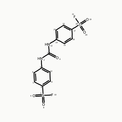 O=C(Nc1ccc(S(=O)(=O)F)cc1)Nc1ccc(S(=O)(=O)F)cc1